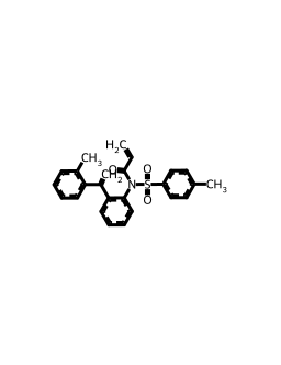 C=CC(=O)N(c1ccccc1C(=C)c1ccccc1C)S(=O)(=O)c1ccc(C)cc1